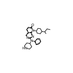 CCC(C)C1CCC(n2c(=O)ccc3cnc(N(c4ccccc4)C4CCNCC4)nc32)CC1